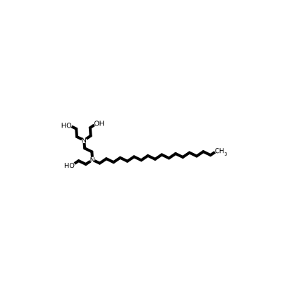 CCCCCCCCCCCCCCCCCCN(CCO)CCN(CCO)CCO